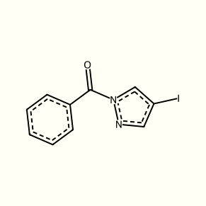 O=C(c1ccccc1)n1cc(I)cn1